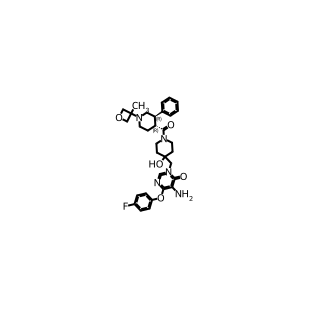 CC1(N2CC[C@@H](C(=O)N3CCC(O)(Cn4cnc(Oc5ccc(F)cc5)c(N)c4=O)CC3)[C@H](c3ccccc3)C2)COC1